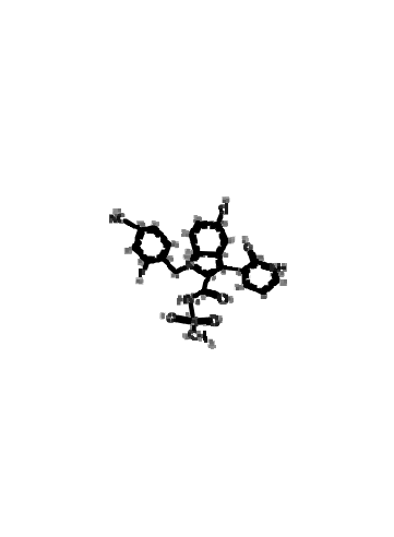 CS(=O)(=O)NC(=O)c1c(-c2ccc[nH]c2=O)c2cc(Cl)ccc2n1Cc1ccc(C#N)cc1F